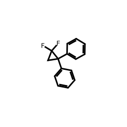 FC1(F)CC1(c1ccccc1)c1ccccc1